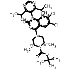 CC(C)c1ncnc(C(C)C)c1-n1c(=O)nc(N2C[C@@H](C)N(C(=O)OC(C)(C)C)[C@@H](C)C2)c2cc(Cl)c(Cl)nc21